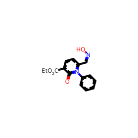 CCOC(=O)c1ccc(/C=N\O)n(-c2ccccc2)c1=O